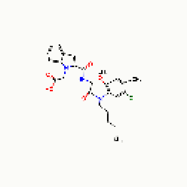 CCCCCN(C(=O)CNC(=O)c1cc2ccccc2n1CC(=O)O)c1cc(Cl)c(C)cc1OC